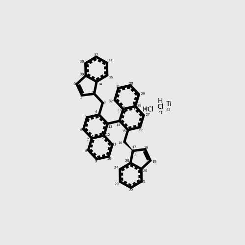 C1=CC(Cc2ccc3ccccc3c2-c2c(C[C@H]3C=Cc4ccccc43)ccc3ccccc23)c2ccccc21.Cl.Cl.[Ti]